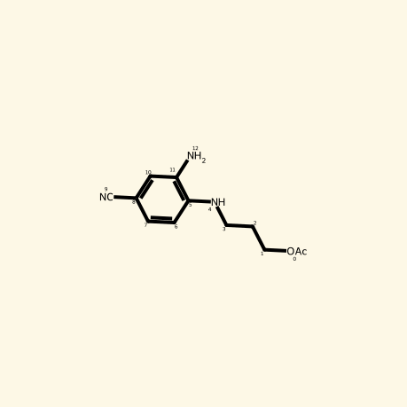 CC(=O)OCCCNc1ccc(C#N)cc1N